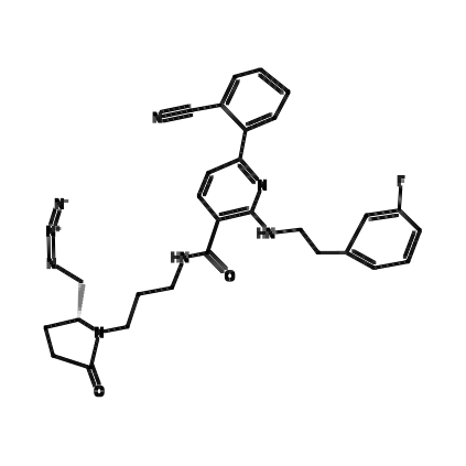 N#Cc1ccccc1-c1ccc(C(=O)NCCCN2C(=O)CC[C@@H]2CN=[N+]=[N-])c(NCCc2cccc(F)c2)n1